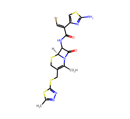 Cc1nnc(SCC2=C(C(=O)O)N3C(=O)C(NC(=O)C(=CBr)c4csc(N)n4)[C@@H]3SC2)s1